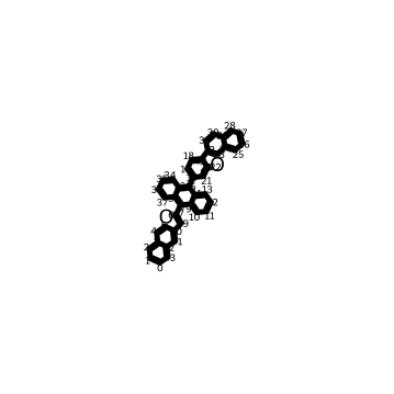 c1ccc2cc3oc(-c4c5ccccc5c(-c5ccc6c(c5)oc5c7ccccc7ccc65)c5ccccc45)cc3cc2c1